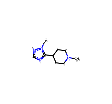 CC(C)n1ncnc1C1CCN(C)CC1